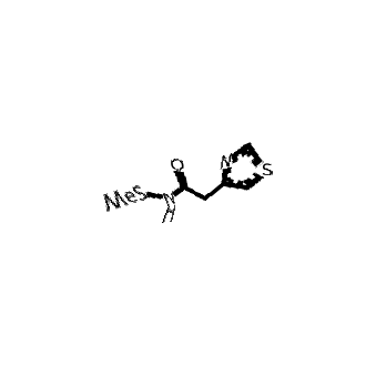 CSNC(=O)Cc1cscn1